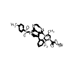 Cc1ccc(S(=O)(=O)n2cc(-c3ccccc3)c3c(N4C[C@@H](C)N(C(=O)OC(C)(C)C)C[C@@H]4C)ncnc32)cc1